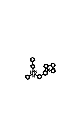 c1ccc(-c2ccc(-c3nc(-c4ccccc4)nc(-c4cccc(-c5ccc6c(c5)c5cccc(-c7ccccc7)c5n6-c5ccccc5)c4)n3)cc2)cc1